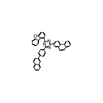 c1ccc2cc(-c3ccc(-c4nc(-c5ccc6c(ccc7ccccc76)c5)nc(-c5cccc6oc7ccccc7c56)n4)cc3)ccc2c1